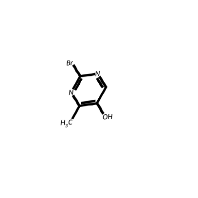 Cc1nc(Br)ncc1O